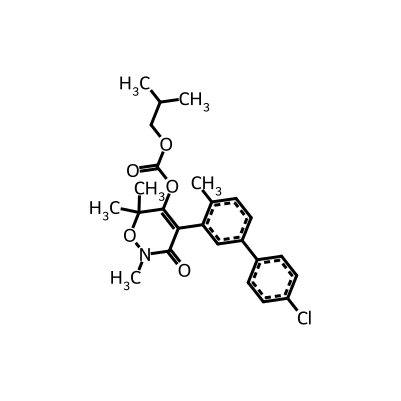 Cc1ccc(-c2ccc(Cl)cc2)cc1C1=C(OC(=O)OCC(C)C)C(C)(C)ON(C)C1=O